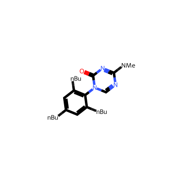 CCCCc1cc(CCCC)c(-n2cnc(NC)nc2=O)c(CCCC)c1